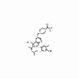 C=C(N)/N=C(C)\N=C(/N)c1cc(CN2CCN(C(=O)N(C)C)CC2)cnc1Nc1cnc(O)c(F)c1